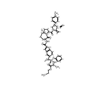 CCCOC(=O)[C@H](C)NP(=O)(Oc1ccccc1)[C@@H](F)c1ccc2sc(C(=O)N[C@H]3CCC[C@H]4CC[C@@H](C(=O)N5C[C@@H](c6ccc(C)cc6)[C@H](C#N)C56CC6)N4C3=O)cc2c1